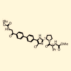 COC(=O)N[C@H](C(=O)N1CCC[C@H]1c1nc(Cl)c(-c2ccc(-c3ccc(C(=O)CNC(=O)OC(C)(C)C)cc3)cc2)[nH]1)C(C)C